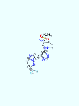 CS(=O)(=O)N[C@@H]1CCCN(c2cc(-c3cnc4ccc(C(F)F)nn34)ncn2)C1